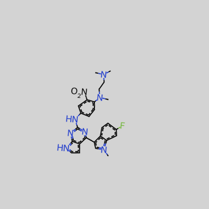 CN(C)CCN(C)c1ccc(Nc2nc(-c3cn(C)c4cc(F)ccc34)c3cc[nH]c3n2)cc1[N+](=O)[O-]